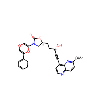 COc1ccc2nccc(C#C[C@@H](O)CC[C@H]3CN(C4=COC=C(C5=CC=CCC5)O4)C(=O)O3)c2n1